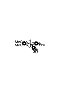 CCCCOc1ccc(OC(C(=O)Nc2nc3cc(OC)c(OC)cc3s2)c2ccc(S(=O)(=O)CC)cc2)cc1